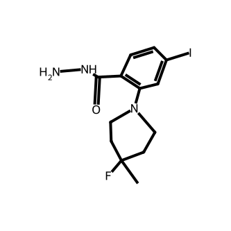 CC1(F)CCN(c2cc(I)ccc2C(=O)NN)CC1